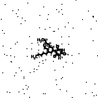 C=CCCCC(CC=C)CC(CCCCCC)n1c(=O)[nH]c(=O)[nH]c1=O